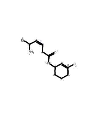 CCC(N)/C=C\CC(=O)NC1C=C(Cl)CCC1